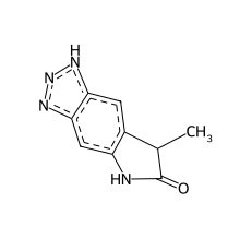 CC1C(=O)Nc2cc3nn[nH]c3cc21